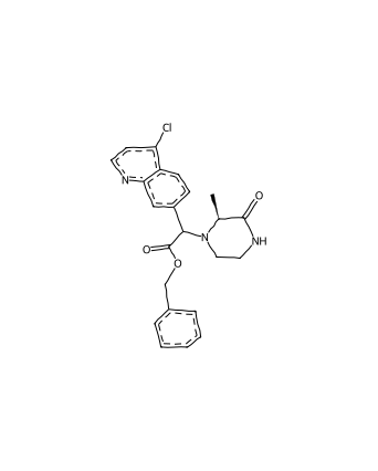 C[C@H]1C(=O)NCCN1C(C(=O)OCc1ccccc1)c1ccc2c(Cl)ccnc2c1